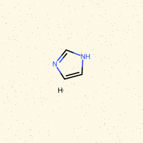 [H].c1c[nH]cn1